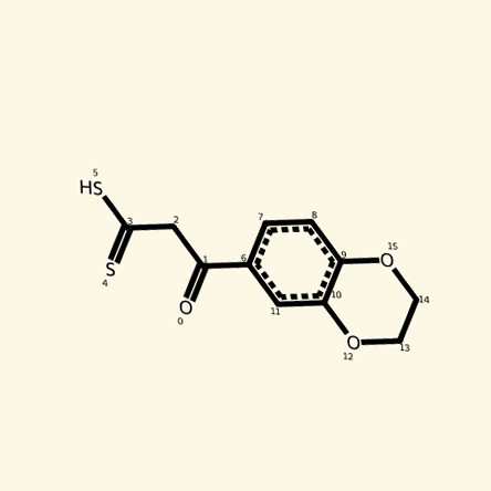 O=C(CC(=S)S)c1ccc2c(c1)OCCO2